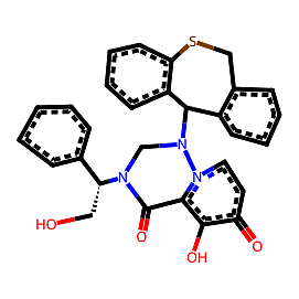 O=C1c2c(O)c(=O)ccn2N(C2c3ccccc3CSc3ccccc32)CN1[C@H](CO)c1ccccc1